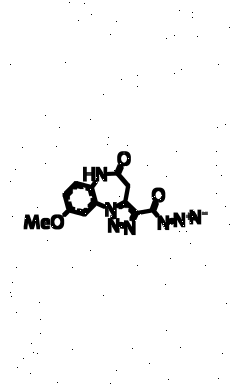 COc1ccc2c(c1)-n1nnc(C(=O)N=[N+]=[N-])c1CC(=O)N2